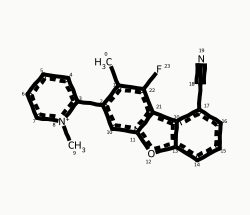 Cc1c(-c2cccc[n+]2C)cc2oc3cccc(C#N)c3c2c1F